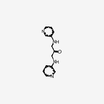 O=C(CNc1cccnc1)CNc1cccnc1